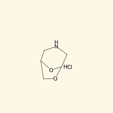 C1NCC2OCC1O2.Cl